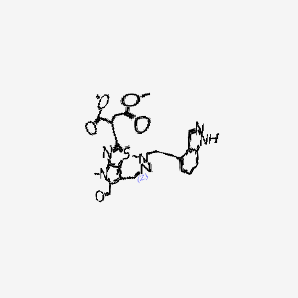 COC(=O)C(C(=O)OC)c1nc2c(s1)c(/C=N\N(C)Cc1cccc3[nH]ncc13)c(C=O)n2C